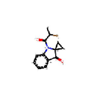 CC(Br)C(=O)N1c2ccccc2C(=O)C12CC2